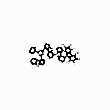 Oc1c(O)c(O)c2c(c1O)c1c(O)c(O)c(O)c(O)c1n2-c1cccc2c1c1ccccc1n2-c1cccc2c1sc1cccc(-c3nc(-c4ccccc4)nc(-c4cccc5oc6ccccc6c45)n3)c12